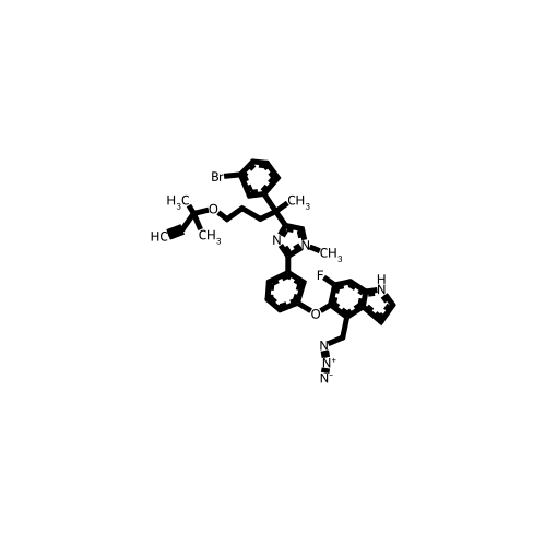 C#CC(C)(C)OCCCC(C)(c1cccc(Br)c1)c1cn(C)c(-c2cccc(Oc3c(F)cc4[nH]ccc4c3CN=[N+]=[N-])c2)n1